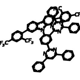 FC(F)(F)c1ccc(-c2ccc3c4ccc(-c5ccc(C(F)(F)F)cc5C(F)(F)F)cc4n(-c4ccc(-c5nc(-c6ccccc6)cc(-c6ccccc6)n5)cc4-c4nc(-c5ccccc5)nc(-c5ccccc5)n4)c3c2)c(C(F)(F)F)c1